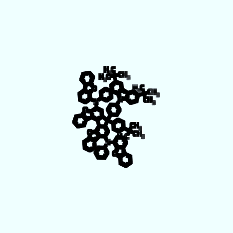 CC(C)(C)c1ccc(C2(c3ccc(-n4c5ccc(C(C)(C)C)cc5c5cc(C(C)(C)C)ccc54)cc3)c3cc(N(c4ccccc4)c4cccc5c4oc4ccccc45)c4c(oc5ccccc54)c3-c3c2cc(N(c2ccccc2)c2cccc4c2oc2ccccc24)c2oc4ccccc4c32)cc1